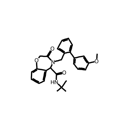 COc1cccc(-c2ccccc2CN2C(=O)COc3ccccc3C2C(=O)NC(C)(C)C)c1